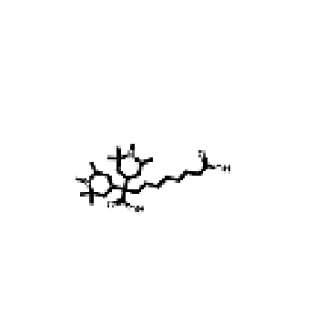 CC1CC(C(CCCCCCCC(=O)O)(C(=O)O)C2CC(C)N(C)C(C)(C)C2)CC(C)(C)N1C